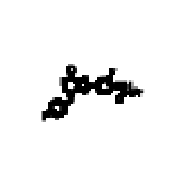 CC(C)C(=O)Nc1ccc(-c2cc3c(s2)c(=O)ncn3Cc2ccc(I)cc2)cc1F